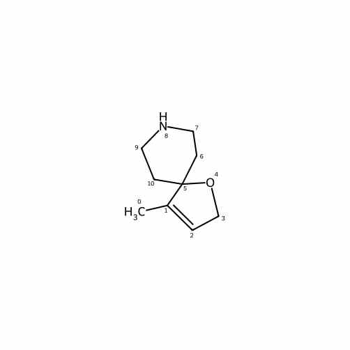 CC1=CCOC12CCNCC2